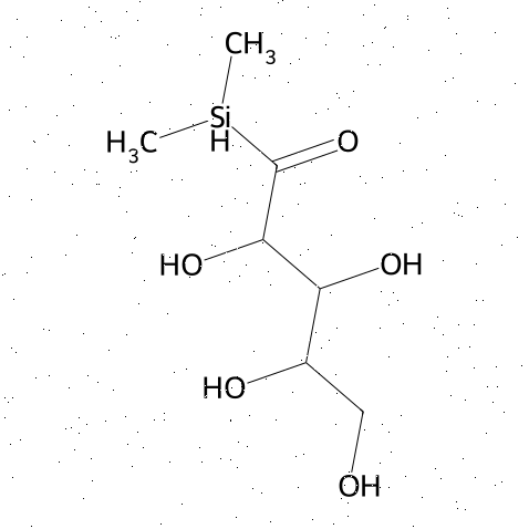 C[SiH](C)C(=O)C(O)C(O)C(O)CO